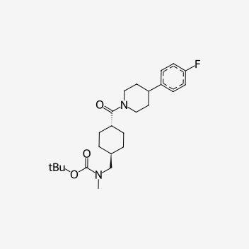 CN(C[C@H]1CC[C@H](C(=O)N2CCC(c3ccc(F)cc3)CC2)CC1)C(=O)OC(C)(C)C